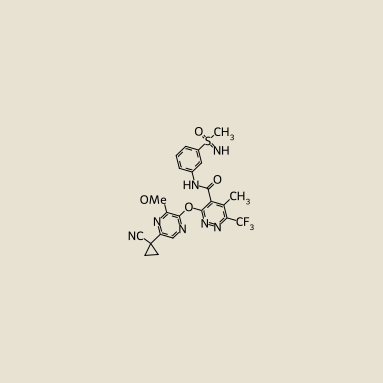 COc1nc(C2(C#N)CC2)cnc1Oc1nnc(C(F)(F)F)c(C)c1C(=O)Nc1cccc(S(C)(=N)=O)c1